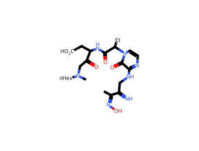 CCCCCCN(C)CC(=O)C(CC(=O)O)NC(=O)C(CC)n1ccnc(NCC(=N)/C(C)=N\O)c1=O